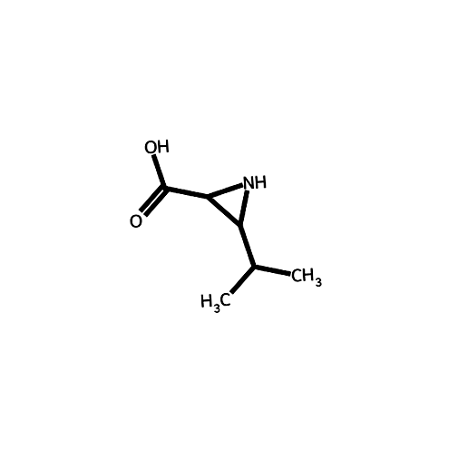 CC(C)C1NC1C(=O)O